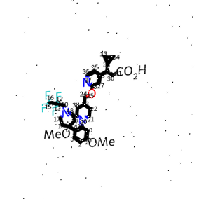 COc1ccc(C2(OC)CCN(CC(F)(F)C(F)F)CC2)c(N2CCC(COc3cc(C(CC(=O)O)C4CC4)ccn3)CC2)c1